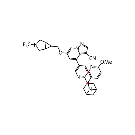 COc1ccc(CN2C3CC2CN(c2ccc(-c4cc(OCC5C6CN(C(F)(F)F)CC56)cn5ncc(C#N)c45)cn2)C3)cn1